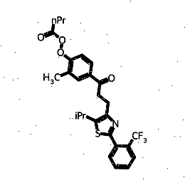 CCCC(=O)OOc1ccc(C(=O)CCc2nc(-c3ccccc3C(F)(F)F)sc2C(C)C)cc1C